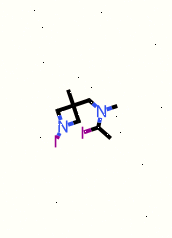 CC(I)N(C)CC1(C)CN(I)C1